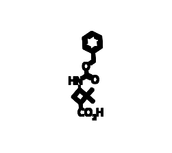 CC1(C)C(C(=O)O)C[C@@H]1NC(=O)OCc1ccccc1